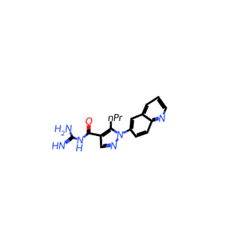 CCCc1c(C(=O)NC(=N)N)cnn1-c1ccc2ncccc2c1